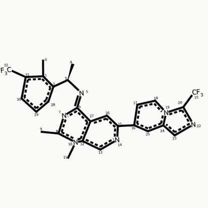 Cc1c([C@@H](C)/N=c2\nc(C)n(C)c3cnc(-c4ccn5c(C(F)(F)F)ncc5c4)cc23)cccc1C(F)(F)F